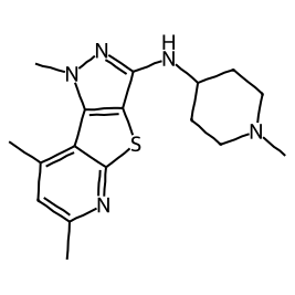 Cc1cc(C)c2c(n1)sc1c(NC3CCN(C)CC3)nn(C)c12